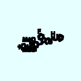 COc1cc(/C=C2/C(C)=C(CC(=O)NCc3ccccn3)c3cc(F)ccc32)cc(OC)c1/[SH]=C(\O)N1CCN(C)CC1